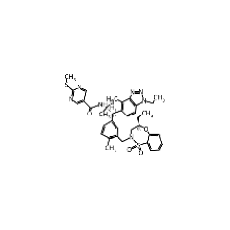 CC[C@@H]1CN(Cc2cc([C@@H](c3ccc4c(nnn4CC)c3C)C(C)(C)NC(=O)c3cnc(SC)nc3)ccc2C)S(=O)(=O)c2ccccc2O1